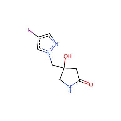 O=C1CC(O)(Cn2cc(I)cn2)CN1